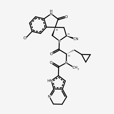 CN(C(=O)c1cc2c([nH]1)=NCCC=2)[C@@H](CC1CC1)C(=O)N1C[C@]2(C[C@H]1C#N)C(=O)Nc1ccc(Cl)cc12